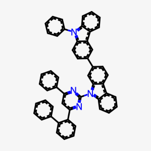 c1ccc(-c2cc(-c3ccccc3-c3ccccc3)nc(-n3c4ccccc4c4ccc(-c5ccc6c(c5)c5ccccc5n6-c5ccccc5)cc43)n2)cc1